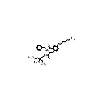 CCCCCCCc1ccc2cc(C(=O)NCCC(N)(CC)CCC)n(OCc3ccccc3)c(=O)c2c1